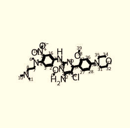 COc1cc(N(C)CCN(C)C)c([N+](=O)[O-])cc1Nc1nc(N)c(Cl)c(-c2ccc(N3CCOCC3)cc2OC)n1